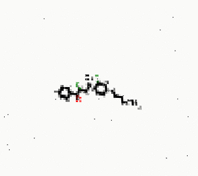 CCCCC[C@H]1CC[C@H](C(C)CC(F)C(=O)c2ccccc2)C(F)C1